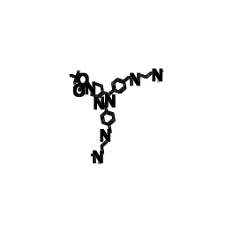 CN(C)CCC/N=C/c1ccc(-c2nc3c(c(-c4ccc(/C=N/CCCN(C)C)cc4)n2)CCN(C(=O)OC(C)(C)C)C3)cc1